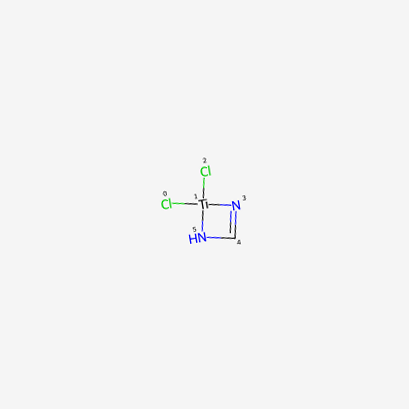 [Cl][Ti]1([Cl])[N]=C[NH]1